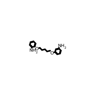 Nc1cccc(OCCCCCOc2ccccc2N)c1